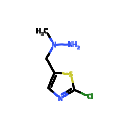 CN(N)Cc1cnc(Cl)s1